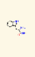 [NH]C(=O)C(N)Cc1c[nH]c2ccccc12